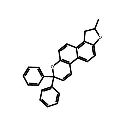 CC1Cc2c(ccc3c4c(ccc23)OC(c2ccccc2)(c2ccccc2)C=C4)O1